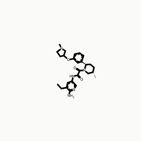 CCc1cc(NC(=O)C(=O)N2C[C@@H](C)CC[C@@H]2c2cccc(OC3CCN(C)C3)c2)cnc1N